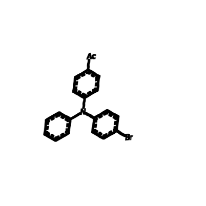 CC(=O)c1ccc(N(c2ccccc2)c2ccc(Br)cc2)cc1